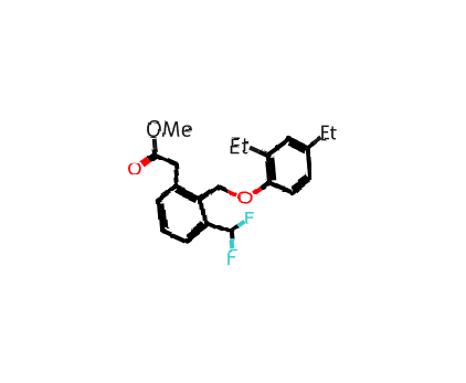 CCc1ccc(OCc2c(CC(=O)OC)cccc2C(F)F)c(CC)c1